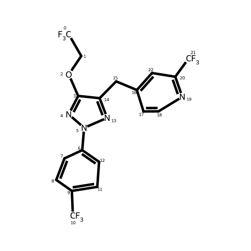 FC(F)(F)COc1nn(-c2ccc(C(F)(F)F)cc2)nc1Cc1ccnc(C(F)(F)F)c1